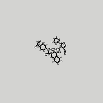 N#Cc1cnn(-c2ncccn2)c1/N=N/c1c(O)c(C(=O)Nc2ccc(C(N)=O)cc2)cc2ccccc12